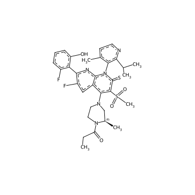 CCC(=O)N1CCN(c2c(S(C)(=O)=O)c(=S)n(-c3c(C)ccnc3C(C)C)c3nc(-c4c(O)cccc4F)c(F)cc23)C[C@H]1C